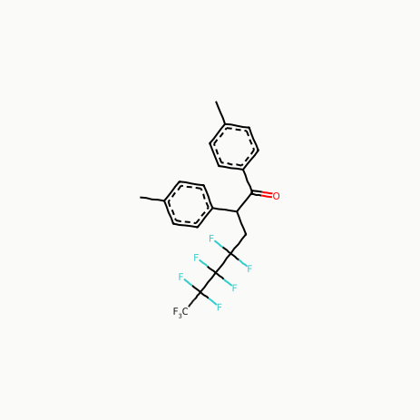 Cc1ccc(C(=O)C(CC(F)(F)C(F)(F)C(F)(F)C(F)(F)F)c2ccc(C)cc2)cc1